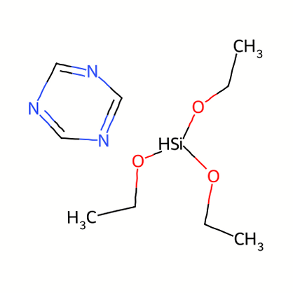 CCO[SiH](OCC)OCC.c1ncncn1